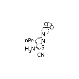 CCCc1cc(N2CCC3(CC2)OCCO3)nc2sc(C#N)c(N)c12